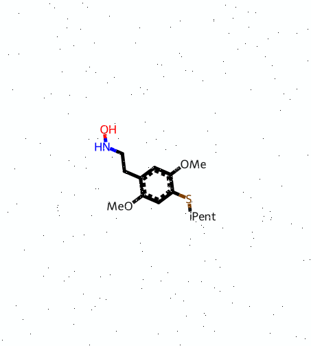 CCCC(C)Sc1cc(OC)c(CCNO)cc1OC